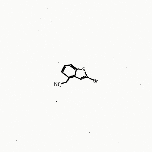 N#CCc1cccc2sc(Br)cc12